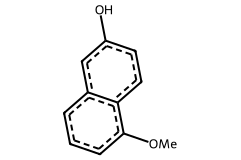 COc1cccc2cc(O)ccc12